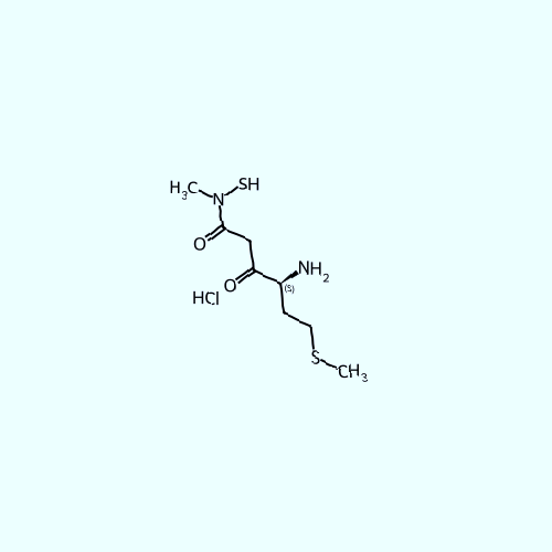 CSCC[C@H](N)C(=O)CC(=O)N(C)S.Cl